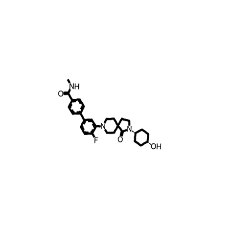 CNC(=O)c1ccc(-c2ccc(F)c(N3CCC4(CC3)CCN([C@H]3CC[C@@H](O)CC3)C4=O)c2)cc1